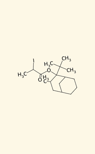 CC(I)C(=O)OC1(C(C)(C)C)C(C)CC2CCCC1C2